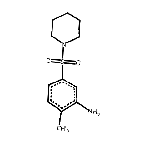 Cc1ccc(S(=O)(=O)N2CCCCC2)cc1N